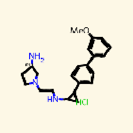 COc1cccc(-c2ccc(C3CC3NCCN3CC[C@@H](N)C3)cc2)c1.Cl